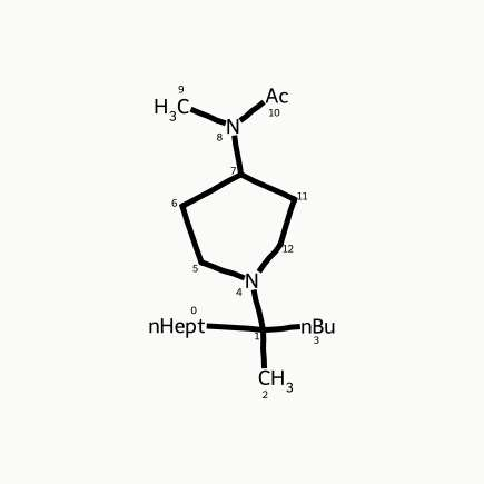 CCCCCCCC(C)(CCCC)N1CCC(N(C)C(C)=O)CC1